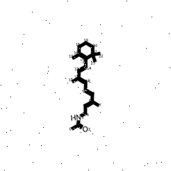 CC(=O)NCC=C(C)C=CC=C(C)C=CC1=C(C)CCCC1(C)C